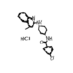 Cc1cc(N[C@H]2CC[C@@H](NC(=O)c3ccc(Cl)cc3)CC2)nc2ccccc12.Cl